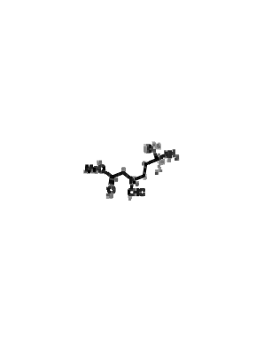 CC[C@H](C)[C@@](C)(N)CCN(C=O)CC(=O)OC